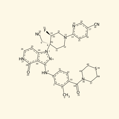 Cc1cc(Nc2nn([C@]3(CC#N)CCN(c4ccc(C#N)cn4)C[C@@H]3F)c3cc[nH]c(=O)c23)ccc1C(=O)N1CCSCC1